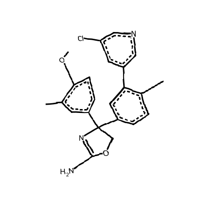 COc1ccc(C2(c3ccc(C)c(-c4cncc(Cl)c4)c3)COC(N)=N2)cc1C